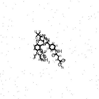 CCN(c1ccc(/N=C2/C(C(C)(C)C)=Nn3nc(-c4ccc(NC(=O)CCC(=O)OC)cc4)nc32)c(C)c1)C(CN)S(C)(=O)=O